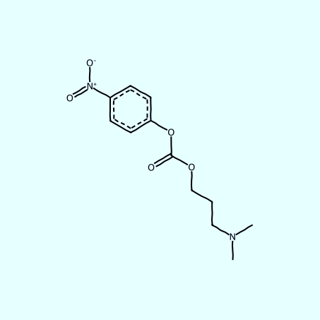 CN(C)CCCOC(=O)Oc1ccc([N+](=O)[O-])cc1